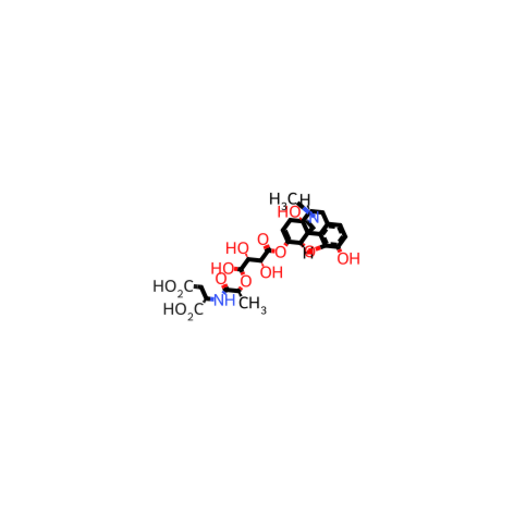 C[C@H](OC(O)[C@H](O)[C@@H](O)C(=O)OC1=CC[C@@]2(O)[C@H]3Cc4ccc(O)c5c4C2(CCN3C)[C@H]1O5)C(=O)N[C@H](CC(=O)O)C(=O)O